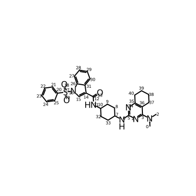 CN(C)c1nc(NC2CCC(NC(=O)c3cn(S(=O)(=O)c4ccccc4)c4ccccc34)CC2)nc2c1CCCC2